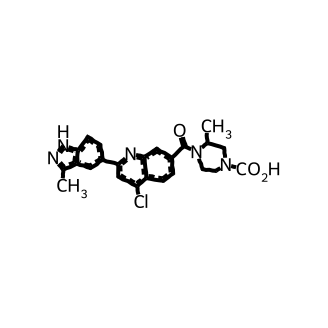 Cc1n[nH]c2ccc(-c3cc(Cl)c4ccc(C(=O)N5CCN(C(=O)O)CC5C)cc4n3)cc12